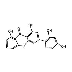 O=c1c2c(O)cccc2oc2cc(-c3ccc(O)cc3O)cc(O)c12